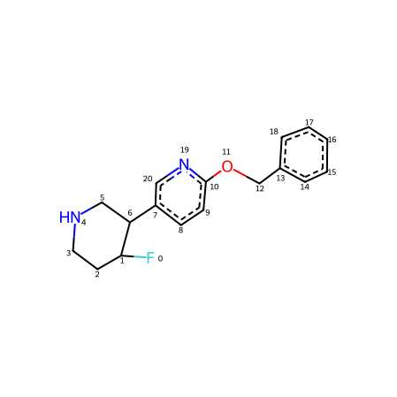 FC1CCNCC1c1ccc(OCc2ccccc2)nc1